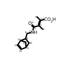 C/C(C(=O)O)=C(/C)C(=O)NCC1CC2C=CC1C2